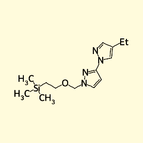 CCc1cnn(-c2ccn(COCC[Si](C)(C)C)n2)c1